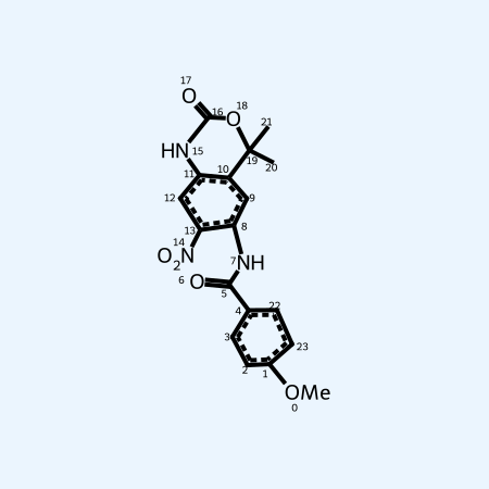 COc1ccc(C(=O)Nc2cc3c(cc2[N+](=O)[O-])NC(=O)OC3(C)C)cc1